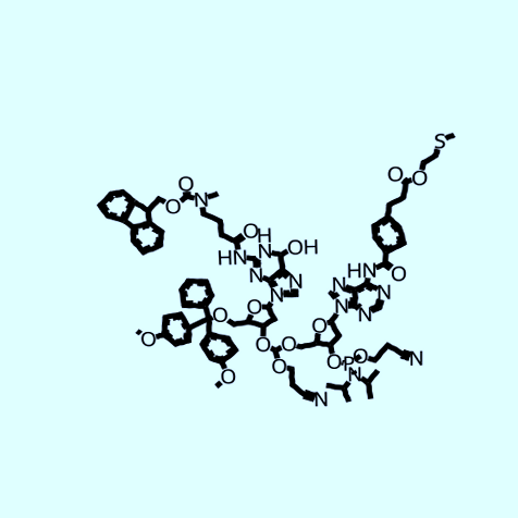 COc1ccc(C(OCC2OC(n3cnc4c3N=C(NC(=O)CCCN(C)C(=O)OCC3c5ccccc5-c5ccccc53)NC4O)CC2OC(OCCC#N)OCC2OC(n3cnc4c(NC(=O)c5ccc(CCC(=O)OCCSC)cc5)ncnc43)CC2OP(OCCC#N)N(C(C)C)C(C)C)(c2ccccc2)c2ccc(OC)cc2)cc1